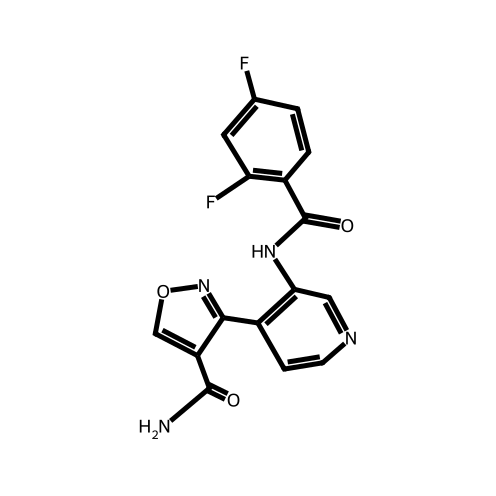 NC(=O)c1conc1-c1ccncc1NC(=O)c1ccc(F)cc1F